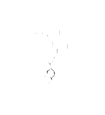 CC(C)CCCC(C)CCOC(=O)c1ccc(=O)oc1